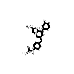 CC1=CN2C=C(Cc3ccc(NC(N)=O)cc3)C=C(c3cccc(Cl)c3)C2N1